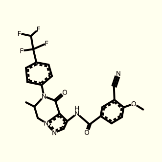 COc1ccc(C(=O)Nc2cnn3c2C(=O)N(c2ccc(C(F)(F)C(F)F)cc2)C(C)C3)cc1C#N